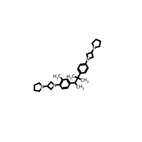 Cc1cc(C(C)C(C)(C)c2ccc(N3CC(N4CCCC4)C3)cc2)ccc1N1CC(N2CCCC2)C1